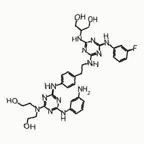 Nc1cccc(Nc2nc(Nc3ccc(CCNc4nc(Nc5cccc(F)c5)nc(NC(CO)CO)n4)cc3)nc(N(CCO)CCO)n2)c1